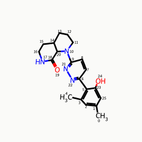 Cc1cc(C)c(-c2ccc(N3CCCC4CCNC(=O)C43)nn2)c(O)c1